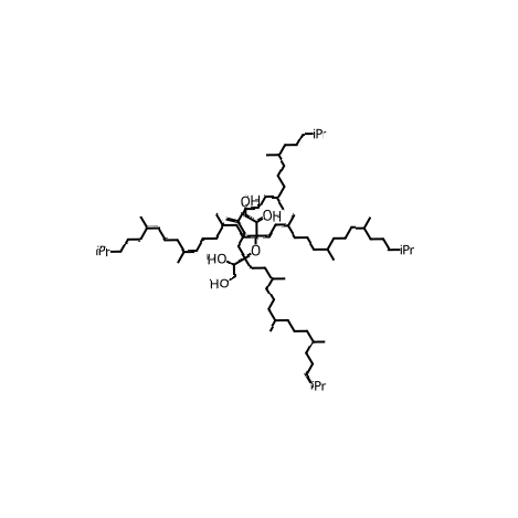 CC(C)CCCC(C)CCCC(C)CCCC(C)CCC(CCC(C)CCCC(C)CCCC(C)CCCC(C)C)(OC(CCC(C)CCCC(C)CCCC(C)CCCC(C)C)(CCC(C)CCCC(C)CCCC(C)CCCC(C)C)C(O)CO)C(O)CO